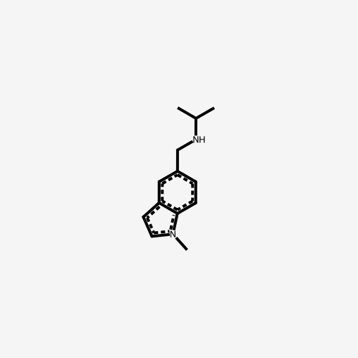 CC(C)NCc1ccc2c(ccn2C)c1